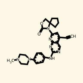 C#Cc1cc(N2C(=O)OCC23CCCC3)nc2nc(Nc3ccc(N4CCN(C)CC4)cc3)ncc12